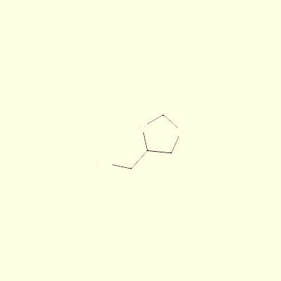 OCC1CS[CH]O1